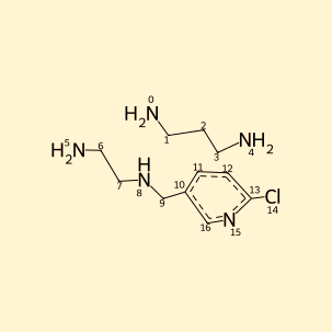 NCCCN.NCCNCc1ccc(Cl)nc1